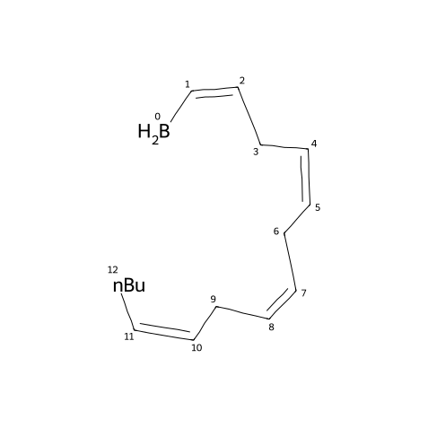 B/C=C\C/C=C\C/C=C\C/C=C\CCCC